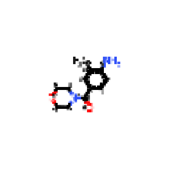 Nc1ccc(C(=O)N2CCOCC2)cc1C(F)(F)F